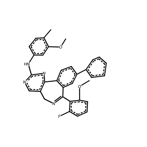 COc1cc(Nc2ncc3c(n2)-c2ccc(-c4ccccc4)cc2C(c2c(F)cccc2OC)=NC3)ccc1C